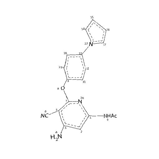 CC(=O)Nc1cc(N)c(C#N)c(Oc2ccc(-n3cccc3)cc2)n1